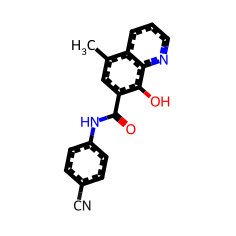 Cc1cc(C(=O)Nc2ccc(C#N)cc2)c(O)c2ncccc12